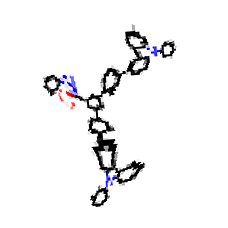 c1ccc(-n2c3ccccc3c3cc(-c4ccc(-c5cc(-c6ccc(-c7ccc8c(c7)c7ccccc7n8-c7ccccc7)cc6)cc(-c6nc7ccccc7o6)c5)cc4)ccc32)cc1